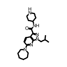 CC(C)Cn1nc(C(=O)NC2CCNCC2)c2ccc(N3CCCCCC3)nc21